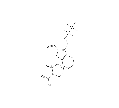 C[C@H]1C[C@@]2(CCN1C(=O)O)OCCc1c2sc(C=O)c1CO[Si](C)(C)C(C)(C)C